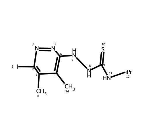 Cc1c(I)nnc(NNC(=S)NC(C)C)c1C